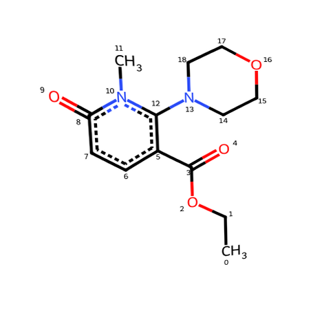 CCOC(=O)c1ccc(=O)n(C)c1N1CCOCC1